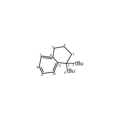 CC(C)(C)C1(C(C)(C)C)CCCc2ccccc21